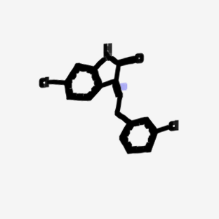 O=C1Nc2cc(Cl)ccc2/C1=C\Cc1cccc(Cl)c1